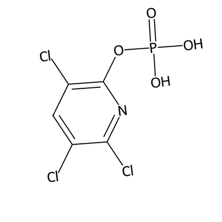 O=P(O)(O)Oc1nc(Cl)c(Cl)cc1Cl